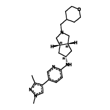 Cc1nn(C)cc1-c1ccc(N[C@@H]2C[C@@H]3CN(CC4CCOCC4)C[C@@H]3C2)nc1